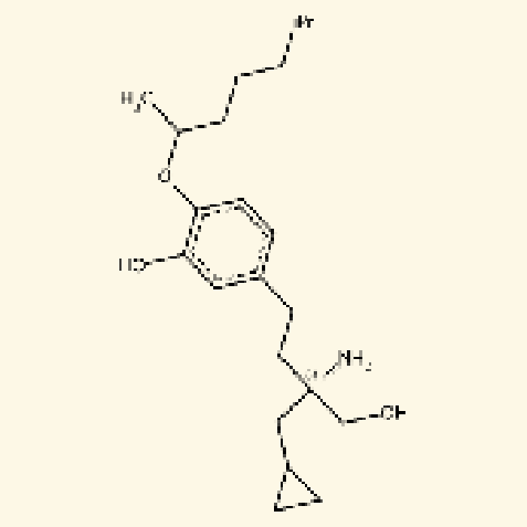 CC(C)CCCC(C)Oc1ccc(CC[C@@](N)(CO)CC2CC2)cc1O